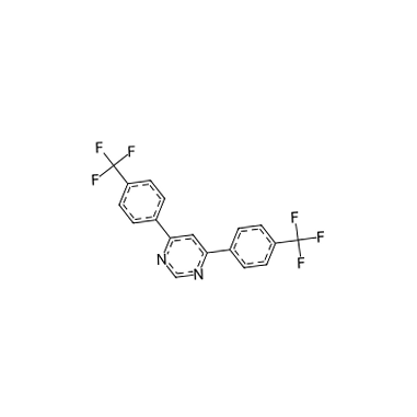 FC(F)(F)c1ccc(-c2cc(-c3ccc(C(F)(F)F)cc3)ncn2)cc1